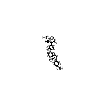 CC(C)C(NC(=O)O)c1ccc(N2CCC[C@]3(CCN(C4CCC(O)CC4)C3=O)C2)c(F)c1